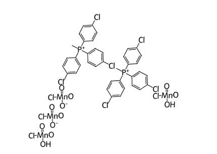 C[P+](c1ccc(Cl)cc1)(c1ccc(Cl)cc1)c1ccc(Cl)cc1.C[P+](c1ccc(Cl)cc1)(c1ccc(Cl)cc1)c1ccc(Cl)cc1.[O]=[Mn](=[O])([O-])[Cl].[O]=[Mn](=[O])([O-])[Cl].[O]=[Mn](=[O])([OH])[Cl].[O]=[Mn](=[O])([OH])[Cl]